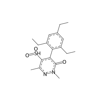 CCc1cc(CC)c(-c2c([SH](=O)=O)c(C)nn(C)c2=O)c(CC)c1